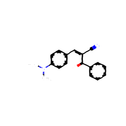 CN(C)c1ccc(C=C(C#N)C(=O)c2ccccc2)cc1